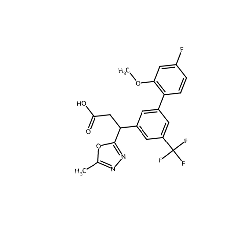 COc1cc(F)ccc1-c1cc(C(CC(=O)O)c2nnc(C)o2)cc(C(F)(F)F)c1